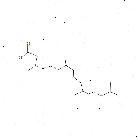 CC(C)CCCC(C)CCCC(C)CCCC(C)CC(=O)Cl